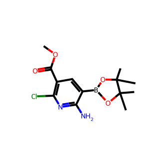 COC(=O)c1cc(B2OC(C)(C)C(C)(C)O2)c(N)nc1Cl